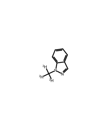 [2H]C([2H])([2H])n1ncc2ccccc21